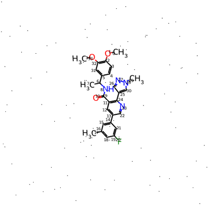 COc1ccc(C(C)NC(=O)c2cc(-c3cc(C)cc(F)c3)cnc2-c2cnn(C)c2)cc1OC